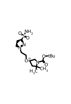 CC(C)(C)OC(=O)N1C[C@@H](OCCn2ccc(S(N)(=O)=O)n2)CC1(C)C